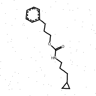 O=C(NCCCC1CC1)OCCCc1ccccc1